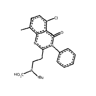 Cc1ccc(Cl)c2c(=O)n(-c3ccccc3)c(CCN(C(=O)O)C(C)(C)C)nc12